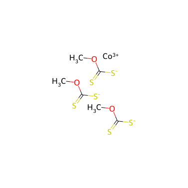 COC(=S)[S-].COC(=S)[S-].COC(=S)[S-].[Co+3]